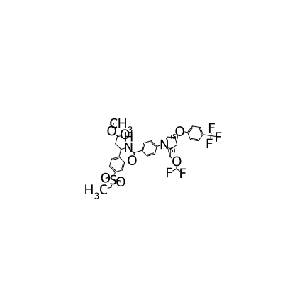 CCS(=O)(=O)c1ccc(C(CC(=O)OC)NC(=O)c2ccc(N3C[C@@H](Oc4ccc(C(F)(F)F)cc4)C[C@H]3COC(F)F)cc2)cc1